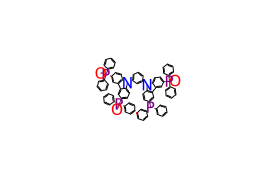 O=P(c1ccccc1)(c1ccccc1)c1ccc2c(c1)c1cc(P(c3ccccc3)c3ccccc3)ccc1n2-c1cccc(-n2c3ccc(P(=O)(c4ccccc4)c4ccccc4)cc3c3cc(P(=O)(c4ccccc4)c4ccccc4)ccc32)c1